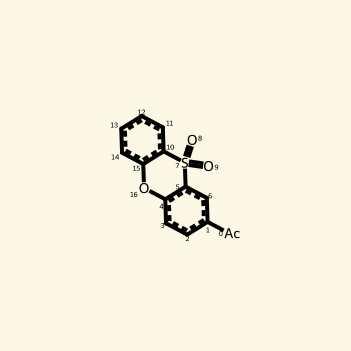 CC(=O)c1ccc2c(c1)S(=O)(=O)c1ccccc1O2